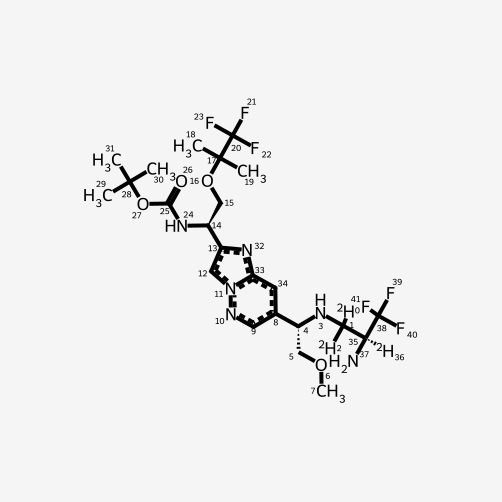 [2H]C([2H])(N[C@H](COC)c1cnn2cc([C@H](COC(C)(C)C(F)(F)F)NC(=O)OC(C)(C)C)nc2c1)[C@]([2H])(N)C(F)(F)F